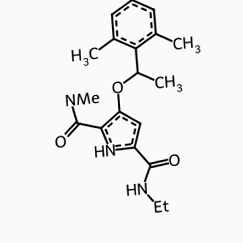 CCNC(=O)c1cc(OC(C)c2c(C)cccc2C)c(C(=O)NC)[nH]1